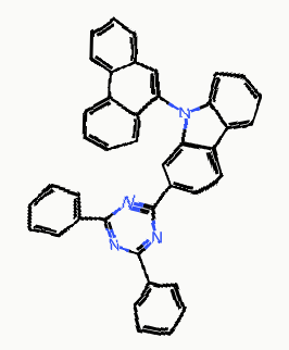 c1ccc(-c2nc(-c3ccccc3)nc(-c3ccc4c5ccccc5n(-c5cc6ccccc6c6ccccc56)c4c3)n2)cc1